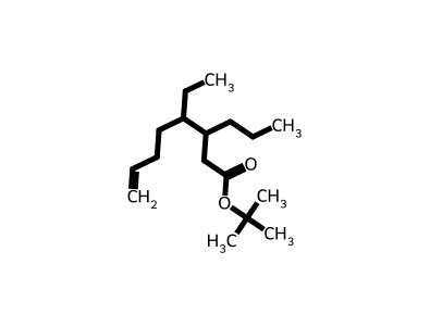 C=CCCC(CC)C(CCC)CC(=O)OC(C)(C)C